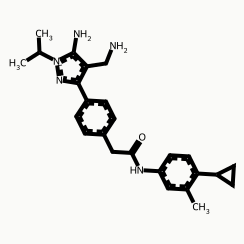 Cc1cc(NC(=O)Cc2ccc(-c3nn(C(C)C)c(N)c3CN)cc2)ccc1C1CC1